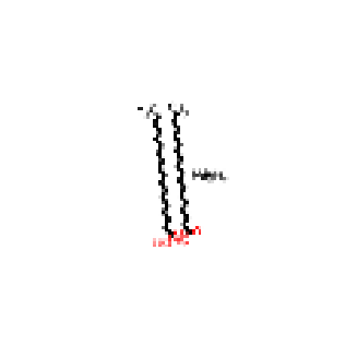 CCCCCCCCCCCCCCCCCC(=O)O.CCCCCCCCCCCCCCCCCC(=O)O.[MgH2].[NaH]